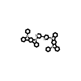 c1ccc(-n2c3ccccc3c3cc4c5ccccc5n(-c5ccc(-c6ccnc(-n7c8ccccc8c8cc9c%10ccccc%10n(-c%10ccccc%10)c9cc87)c6)nc5)c4cc32)cc1